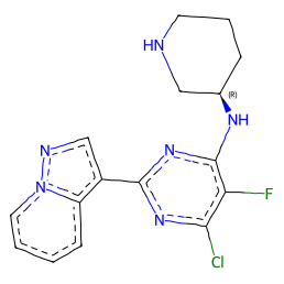 Fc1c(Cl)nc(-c2cnn3ccccc23)nc1N[C@@H]1CCCNC1